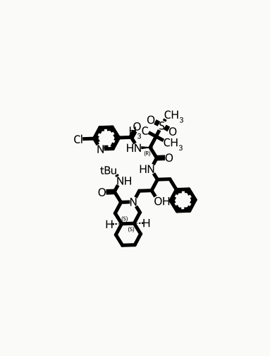 CC(C)(C)NC(=O)C1C[C@@H]2CCCC[C@@H]2CN1CC(O)C(Cc1ccccc1)NC(=O)[C@@H](NC(=O)c1ccc(Cl)nc1)C(C)(C)S(C)(=O)=O